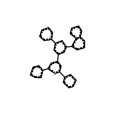 c1ccc(-c2cc(-c3cc(-c4ccccc4)nc(-c4ccccc4)c3)cc(-c3cccc4ccccc34)c2)cc1